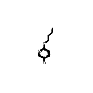 CCCCOc1ccc(Cl)cn1